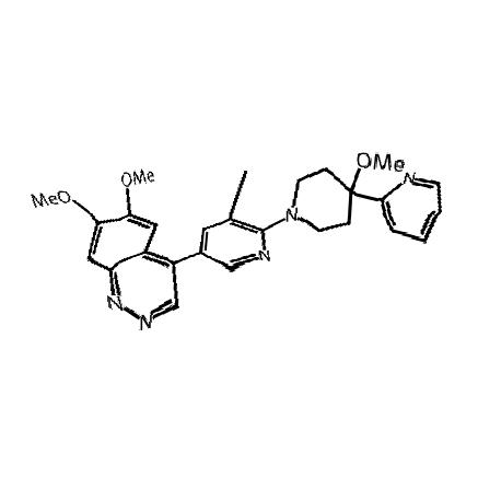 COc1cc2nncc(-c3cnc(N4CCC(OC)(c5ccccn5)CC4)c(C)c3)c2cc1OC